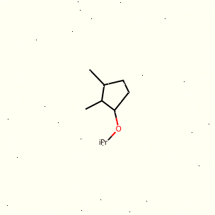 CC(C)OC1CCC(C)C1C